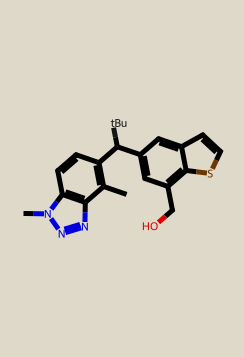 Cc1c(C(c2cc(CO)c3sccc3c2)C(C)(C)C)ccc2c1nnn2C